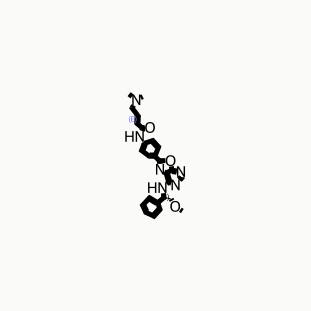 COC[C@@H](Nc1ncnc2oc(-c3ccc(NC(=O)/C=C/CN(C)C)cc3)nc12)c1ccccc1